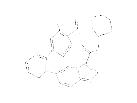 C=Cc1ccc(-c2ncccc2-c2ccc3ncc(C(=O)NC4CCCC[C@H]4N)n3c2)cc1C